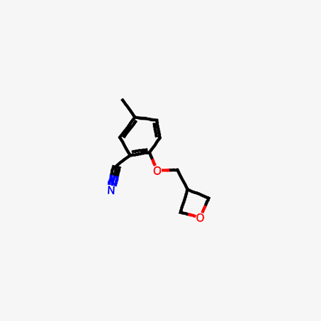 Cc1ccc(OCC2COC2)c(C#N)c1